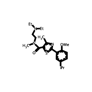 CCN(CC)CCN(C)C(=O)c1sc(-c2cc(C(C)C)ccc2OC)nc1C